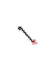 O=C(O)CCCCCCC/C=C/CCCCCC1C=CCC1